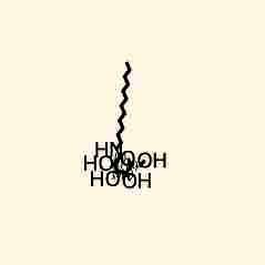 CCCCCCCCCCCCN[C@@H]1O[C@H](CO)[C@@H](O)[C@H](O)[C@H]1O